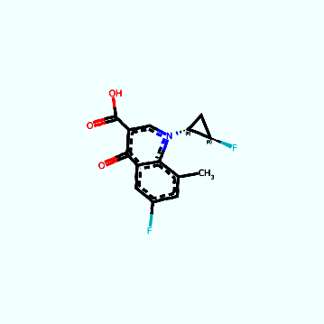 Cc1cc(F)cc2c(=O)c(C(=O)O)cn([C@@H]3C[C@H]3F)c12